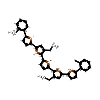 Cc1ccccc1-c1ccc(-c2cc(CC(=O)O)c(-c3ccc(-c4sc(-c5ccc(-c6ccccc6C(=O)O)s5)cc4CC(=O)O)s3)s2)s1